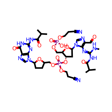 CN/C(=N\c1c(C=O)ncn1C1C[C@H](OP(=O)(OCCC#N)OCC2CCC(n3cnc4c(=O)[nH]c(NC(=O)C(C)C)nc43)O2)C(COP(=O)(O)OCCC#N)O1)NC(=O)C(C)C